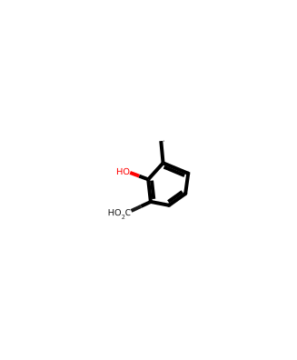 [CH2]c1cccc(C(=O)O)c1O